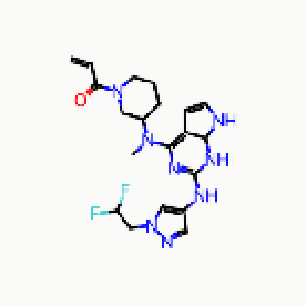 C=CC(=O)N1CCCC(N(C)C2=C3C=CNC3NC(Nc3cnn(CC(F)F)c3)=N2)C1